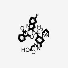 C[C@H](Oc1cc2cc(F)ccc2nc1N1C(=O)c2ccccc2C1=O)c1cc2c(cnn2CC(=O)O)cc1-n1cccn1